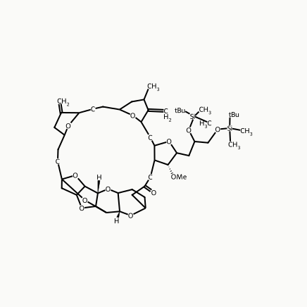 C=C1CC2CCC34CC5OC6C(O3)[C@H]3OC(CCC3O[C@H]6C5O4)CC(=O)CC3C(CC4OC(CCC1O2)CC(C)C4=C)OC(CC(CO[Si](C)(C)C(C)(C)C)O[Si](C)(C)C(C)(C)C)[C@@H]3OC